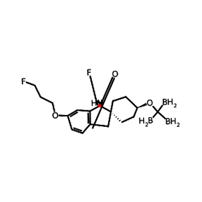 BC(B)(B)O[C@H]1CC[C@]2(CC1)Cc1ccc(OCCCF)cc1C21C=C(F)C(=O)N1